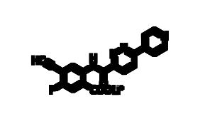 C#Cc1cc(NC(=O)c2ccc(-c3ccncc3)nn2)c(C(=O)[O-])cc1F.[Li+]